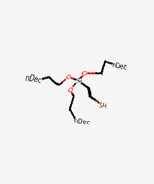 CCCCCCCCCCCCO[Si](CCS)(OCCCCCCCCCCCC)OCCCCCCCCCCCC